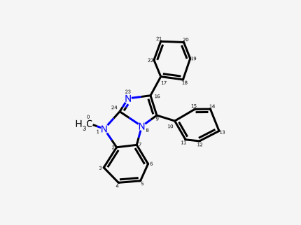 Cn1c2ccccc2n2c(-c3ccccc3)c(-c3ccccc3)nc12